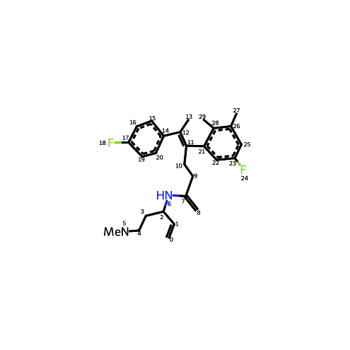 C=CC(CCNC)NC(=C)CC/C(=C(/C)c1ccc(F)cc1)c1cc(F)cc(C)c1C